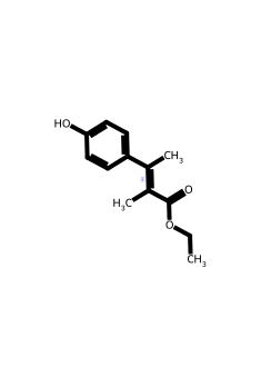 CCOC(=O)/C(C)=C(\C)c1ccc(O)cc1